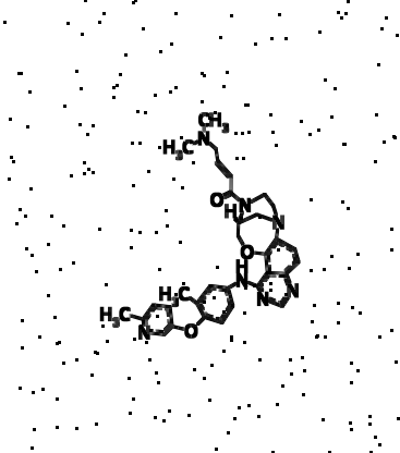 Cc1ccc(Oc2ccc(Nc3ncnc4ccc5c(c34)OC[C@H]3CN5CCN3C(=O)/C=C/CN(C)C)cc2C)cn1